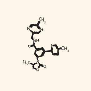 Cc1ccc(-c2cc(C(=O)NCc3cnc(C)cn3)cc(N3C(=O)OCC3C)c2)nc1